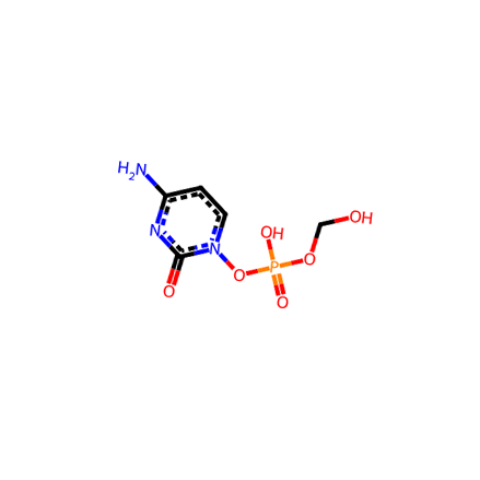 Nc1ccn(OP(=O)(O)OCO)c(=O)n1